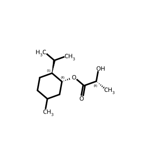 CC1CC[C@@H](C(C)C)[C@H](OC(=O)[C@@H](C)O)C1